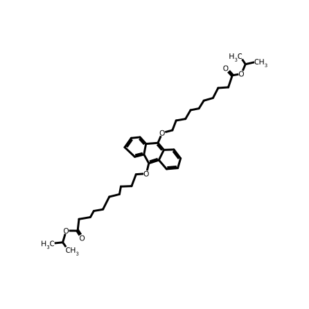 CC(C)OC(=O)CCCCCCCCCOc1c2ccccc2c(OCCCCCCCCCC(=O)OC(C)C)c2ccccc12